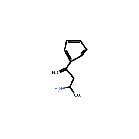 C=C(CC(N)C(=O)O)c1ccccc1